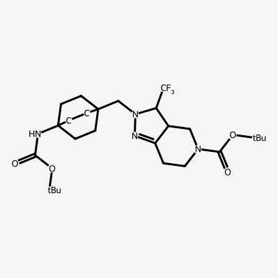 CC(C)(C)OC(=O)NC12CCC(CN3N=C4CCN(C(=O)OC(C)(C)C)CC4C3C(F)(F)F)(CC1)CC2